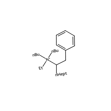 CCCCCCCC(Cc1ccccc1)[N+](CC)(CCCC)CCCC